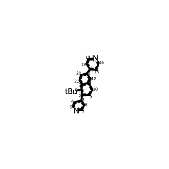 CC(C)(C)c1c(-c2ccncc2)ccc2cc(-c3ccncc3)ccc12